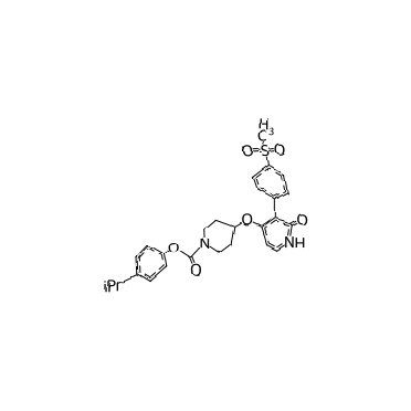 CC(C)c1ccc(OC(=O)N2CCC(Oc3cc[nH]c(=O)c3-c3ccc(S(C)(=O)=O)cc3)CC2)cc1